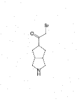 O=C(CBr)C1CC2CNCC2C1